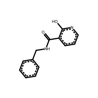 O=C(NCc1ccccc1)c1cccnc1O